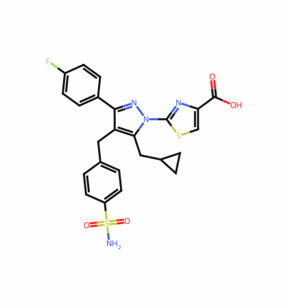 NS(=O)(=O)c1ccc(Cc2c(-c3ccc(F)cc3)nn(-c3nc(C(=O)O)cs3)c2CC2CC2)cc1